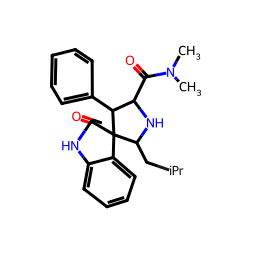 CC(C)CC1NC(C(=O)N(C)C)C(c2ccccc2)C12C(=O)Nc1ccccc12